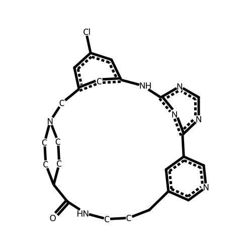 O=C1NCCCc2cncc(c2)-c2ncnc(n2)Nc2cc(Cl)cc(c2)CN2CCC1CC2